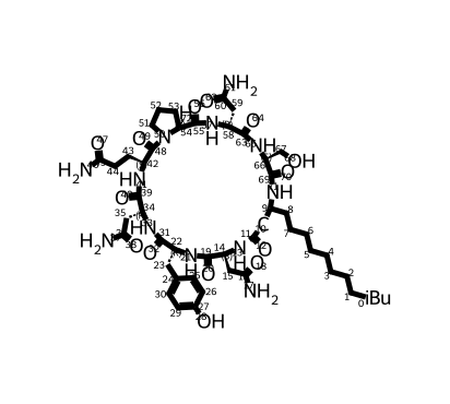 CCC(C)CCCCCCCCC1CC(=O)N[C@@H](CC(N)=O)C(=O)N[C@H](Cc2ccc(O)cc2)C(=O)N[C@H](CC(N)=O)C(=O)N[C@@H](CCC(N)=O)C(=O)N2CCC[C@H]2C(=O)N[C@H](CC(N)=O)C(=O)N[C@@H](CO)C(=O)N1